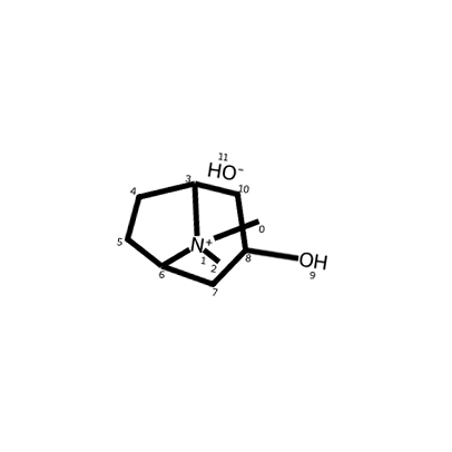 C[N+]1(C)C2CCC1CC(O)C2.[OH-]